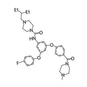 CCC(CC)CN1CCN(C(=O)Nc2cc(Oc3ccc(F)cc3)cc(Oc3ccc(C(=O)N4CCN(C)CC4)cc3)c2)CC1